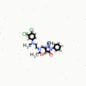 CCN(CCN(C)c1ccc(Cl)c(Cl)c1)Cc1c(Br)c(=O)n(-c2ccccc2)n1C